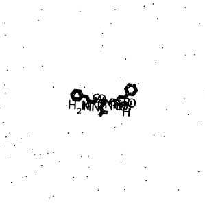 CC(C)[C@H](NC(=O)[C@@H](N)Cc1ccccc1)C(=O)NC[C@H](O)CC(C1CCCCC1)[PH](=O)O